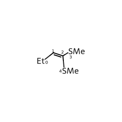 CCC=C(SC)SC